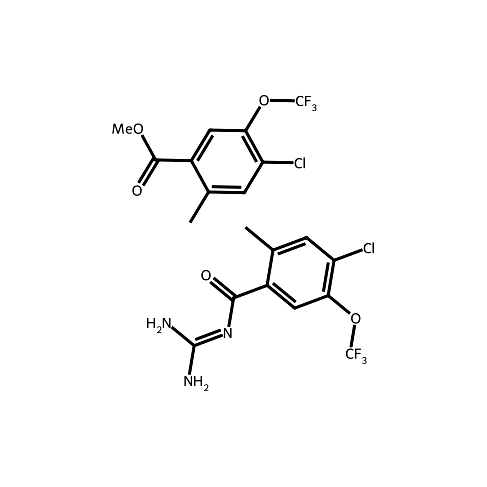 COC(=O)c1cc(OC(F)(F)F)c(Cl)cc1C.Cc1cc(Cl)c(OC(F)(F)F)cc1C(=O)N=C(N)N